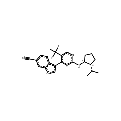 CN(C)[C@H]1CCC[C@@H]1Nc1ncc(C(F)(F)F)c(-c2c[nH]c3cc(C#N)ccc23)n1